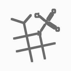 CC(C)C1(C)N(S(=O)(=O)Cl)C(C)(C)C1(C)C